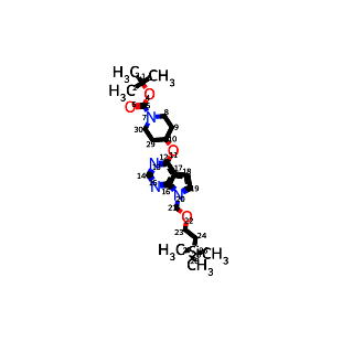 CC(C)(C)OC(=O)N1CCC(Oc2ncnc3c2ccn3COCC[Si](C)(C)C)CC1